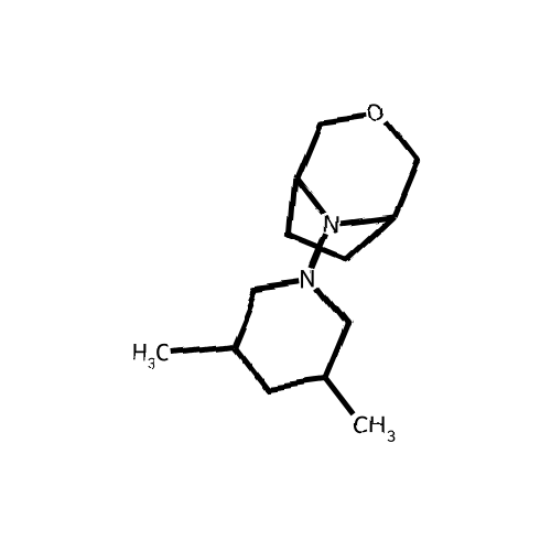 CC1CC(C)CN(N2C3CCC2COC3)C1